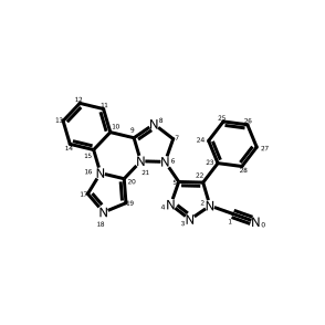 N#Cn1nnc(N2CN=C3c4ccccc4-n4cncc4N32)c1-c1ccccc1